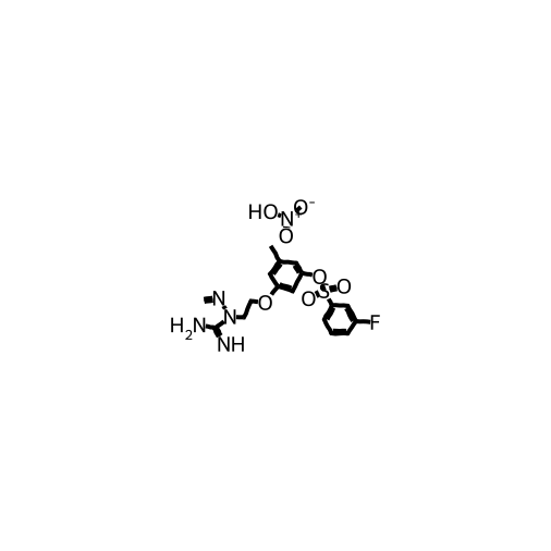 C=NN(CCOc1cc(C)cc(OS(=O)(=O)c2cccc(F)c2)c1)C(=N)N.O=[N+]([O-])O